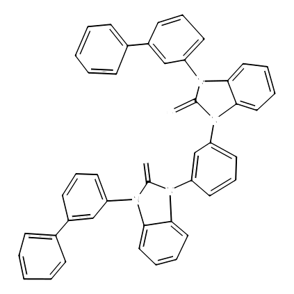 O=c1n(-c2cccc(-c3ccccc3)c2)c2ccccc2n1-c1cccc(-n2c(=O)n(-c3cccc(-c4ccccc4)c3)c3ccccc32)c1